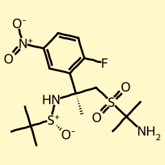 CC(C)(C)[S@@+]([O-])N[C@](C)(CS(=O)(=O)C(C)(C)N)c1cc([N+](=O)[O-])ccc1F